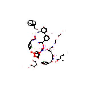 CC[C@H](CC(C)C)C(=O)N[C@H]1C(=O)C[C@@H](CC(=O)NC(=O)COCCOC)C(=O)N[C@H]2C(=O)C[C@H]3C(=O)N[C@H](C(=O)N[C@H](C(=O)CC4C5CC6CC(C5)CC4C6)c4cc(O)cc(O)c4-c4cc3ccc4O)[C@H](O)c3ccc(c(Cl)c3)Oc3cc2cc(c3O[C@@H]2O[C@H](CO)[C@@H](O)[C@H](O)[C@H]2O[C@H]2C[C@](C)(N)[C@H](O)[C@H](C)O2)Oc2ccc(cc2Cl)[C@H]1O